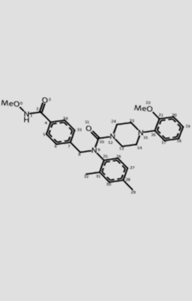 CONC(=O)c1ccc(CN(C(=O)N2CCN(c3ccccc3OC)CC2)c2ccc(C)cc2C)cc1